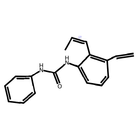 C=Cc1cccc(NC(=O)Nc2ccccc2)c1/C=C\C